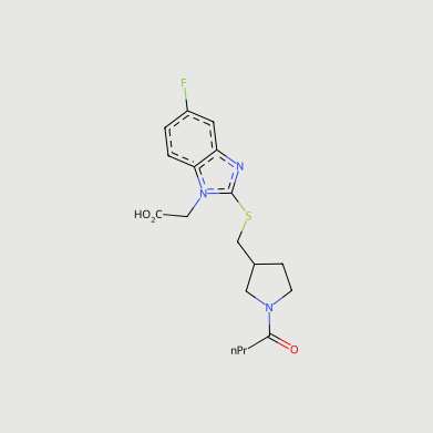 CCCC(=O)N1CCC(CSc2nc3cc(F)ccc3n2CC(=O)O)C1